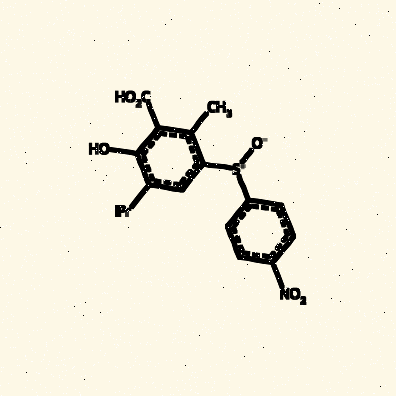 Cc1c([S+]([O-])c2ccc([N+](=O)[O-])cc2)cc(C(C)C)c(O)c1C(=O)O